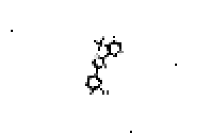 CC(C)(C)c1ccncc1-c1nc(-c2ccc(Cl)c(Cl)c2)cs1